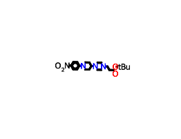 CC(C)(C)OC(=O)CCN1CCN(C2CCN(c3ccc([N+](=O)[O-])cc3)CC2)CC1